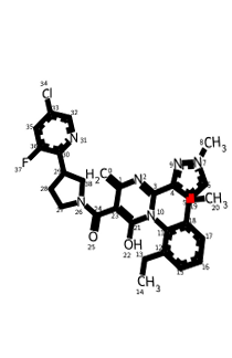 C=C1N=C(c2ccn(C)n2)N(c2c(CC)cccc2CC)C(O)=C1C(=O)N1CCC(c2ncc(Cl)cc2F)C1